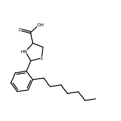 CCCCCCCc1ccccc1C1NC(C(=O)O)CS1